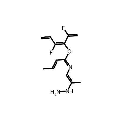 C=C/C(F)=C(/OC(/C=C/C)=N/C=C(\C)NN)C(=C)F